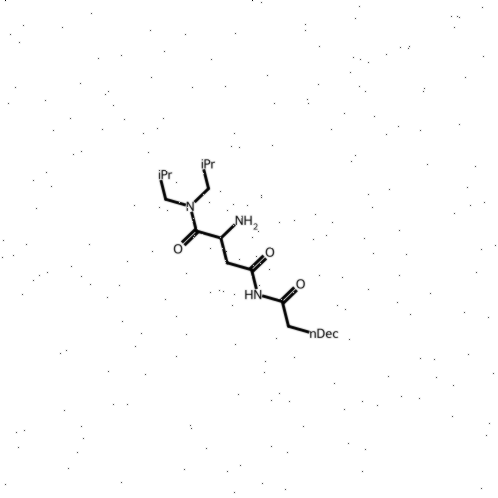 CCCCCCCCCCCC(=O)NC(=O)CC(N)C(=O)N(CC(C)C)CC(C)C